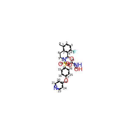 Cc1ccc(F)c2c1CCN(S(=O)(=O)c1ccc(Oc3ccncc3)cc1)C2OC(=O)NO